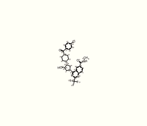 CNC(=O)c1ccc2nc(C(F)(F)F)nc(N3C[C@@H](O)[C@H](N4CCN(C(=O)c5ccc(Cl)cc5)CC4)C3)c2c1